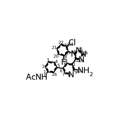 CC(=O)Nc1cccc(-c2cnc(N)c(-c3nnnn3-c3c(F)cccc3Cl)c2)c1